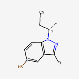 CCc1nn([C@@H](C)CC#N)c2ccc(S)cc12